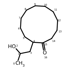 CC(O)CC1CCCCCCCCCCC1=O